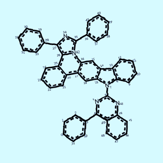 c1ccc(-c2nc(-n3c4ccccc4c4cc5c(cc43)c3ccccc3c3c(-c4ccccc4)nc(-c4ccccc4)n53)nc3ccccc23)cc1